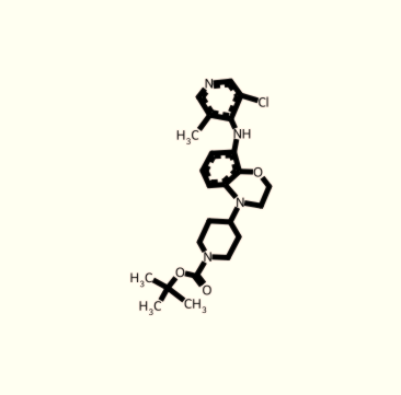 Cc1cncc(Cl)c1Nc1cccc2c1OCCN2C1CCN(C(=O)OC(C)(C)C)CC1